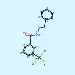 O=C(NCCc1ccccc1)c1cccc(C(F)(F)F)c1